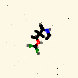 C=C(/N=C\C)C(C)(C)C(C)OC(F)F